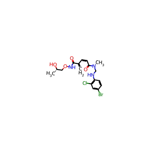 C=C(/C=C\C(=O)N(C)CNc1ccc(Br)cc1Cl)C(=O)NOC[C@H](C)O